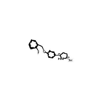 CC(=O)[C@H]1CC[C@H](c2ccc(OCc3ccccc3F)cc2)N1